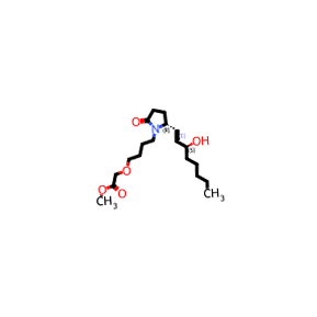 CCCCC[C@H](O)/C=C/[C@H]1CCC(=O)N1CCCCOCC(=O)OC